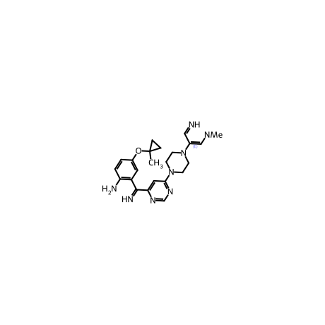 CN/C=C(\C=N)N1CCN(c2cc(C(=N)c3cc(OC4(C)CC4)ccc3N)ncn2)CC1